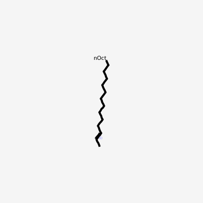 [CH2]CCCCCCCCCCCCCCCCC/C=C/C